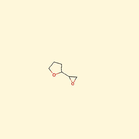 C1COC(C2CO2)C1